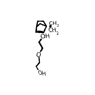 C1=CC2CCC1C2.C=C.OCCOCCO